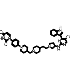 O=c1ccn(-c2ccc(N3CCC(CN4CCC(CCN5CCC(Nc6ncc(Cl)c(-c7c[nH]c8ccccc78)n6)C5)CC4)CC3)cc2)c(=O)[nH]1